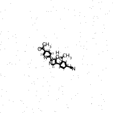 COc1cc(C#N)ccc1-c1cnn(-c2ccc(C(C)=O)cn2)c1O